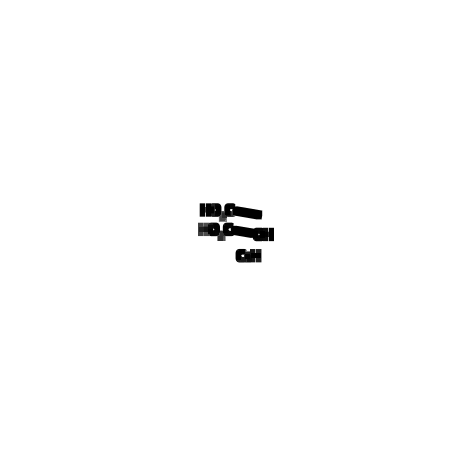 CC(=O)O.O=C(O)O.[CsH]